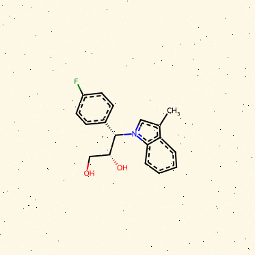 Cc1cn([C@@H](c2ccc(F)cc2)[C@H](O)CO)c2ccccc12